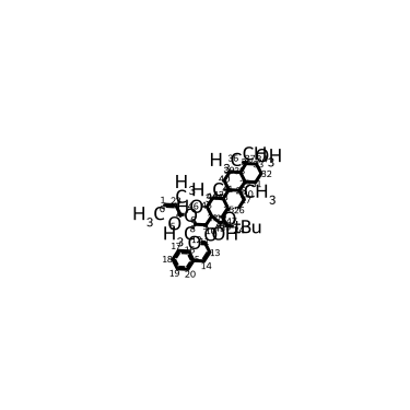 C/C=C(/C)C(=O)O[C@H](C)[C@H](OC(=O)/C=C\c1ccccc1)[C@@]12C(CC(C)(C)C)[C@]3(CCC4[C@@]5(C)CC[C@H](O)C(C)(C)C5CC[C@@]4(C)C3C[C@H]1O)O[C@@H]2O